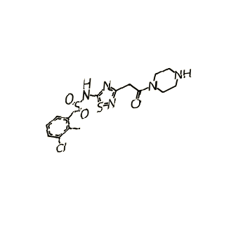 Cc1c(Cl)cccc1S(=O)(=O)Nc1nc(CC(=O)N2CCNCC2)ns1